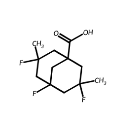 CC1(F)CC2(F)CC(C)(F)CC(C(=O)O)(C1)C2